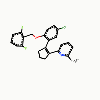 CCOC(=O)c1cccc(C2=C(c3cc(Cl)ccc3OCc3c(F)cccc3F)CCC2)n1